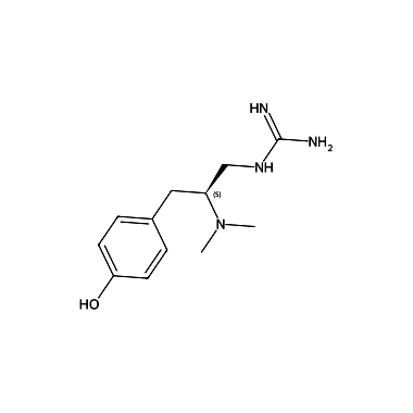 CN(C)[C@H](CNC(=N)N)Cc1ccc(O)cc1